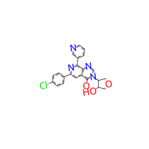 O=c1c2cc(-c3ccc(Cl)cc3)nc(-c3cccnc3)c2ncn1[C@H]1COC[C@H]1O